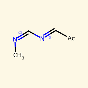 C/N=C\N=C\C(C)=O